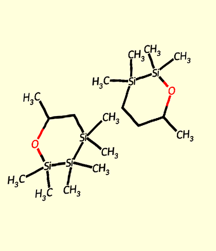 CC1CC[Si](C)(C)[Si](C)(C)O1.CC1C[Si](C)(C)[Si](C)(C)[Si](C)(C)O1